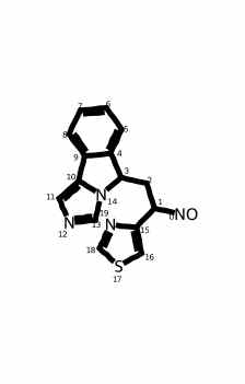 O=NC(CC1c2ccccc2-c2cncn21)c1cscn1